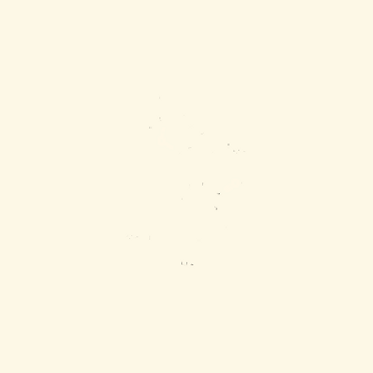 COc1ccc(C(C)C(=O)c2ccc3c(c2OC)C=CC(C)(C)O3)cc1OC